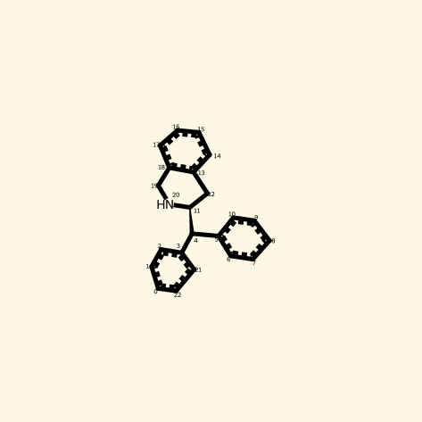 c1ccc(C(c2ccccc2)[C@@H]2Cc3ccccc3CN2)cc1